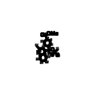 COC(=O)c1ccc(C(C)(OS(C)(=O)=O)c2cc(C)nc3ccccc23)cc1